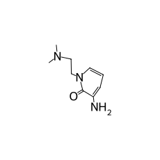 CN(C)CCn1cccc(N)c1=O